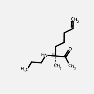 C=CCCC[C@](C)(NCCC)C(C)=O